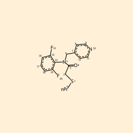 CCCSCC(=O)N(Cc1ccncc1)c1c(F)cccc1F